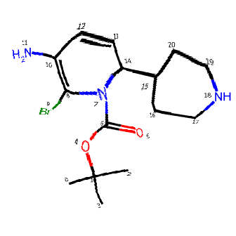 CC(C)(C)OC(=O)N1C(Br)=C(N)C=CC1C1CCNCC1